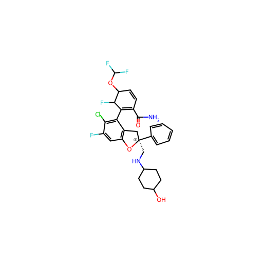 NC(=O)C1=C(c2c(Cl)c(F)cc3c2C[C@@](CNC2CCC(O)CC2)(c2ccccc2)O3)C(F)C(OC(F)F)C=C1